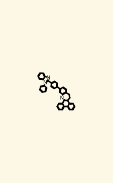 c1ccc(-n2c(-c3ccc(-c4ccc5c(c4)N=C4c6ccccc6-c6ccccc6C4CC5)cc3)nc3ccccc32)cc1